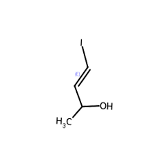 CC(O)/C=C/I